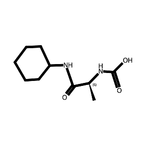 C[C@H](NC(=O)O)C(=O)NC1CCCCC1